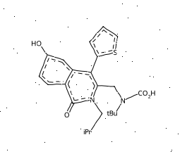 CC(C)Cn1c(CN(C(=O)O)C(C)(C)C)c(-c2cccs2)c2cc(O)ccc2c1=O